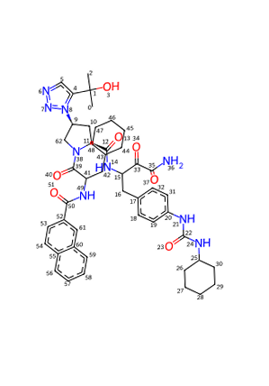 CC(C)(O)c1cnnn1[C@H]1C[C@@H](C(=O)NC(Cc2ccc(NC(=O)NC3CCCCC3)cc2)C(=O)C(N)=O)N(C(=O)C(CC2CCCCC2)NC(=O)c2ccc3ccccc3c2)C1